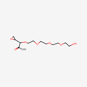 O=CC(=O)C(OCCOCCOCCOCCO)C1CO1